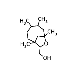 CC1CCC2(C)CC(C)(CC1C)OC2CO